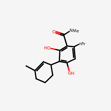 CCCc1cc(O)c(C2C=C(C)CCC2)c(O)c1C(=O)NC